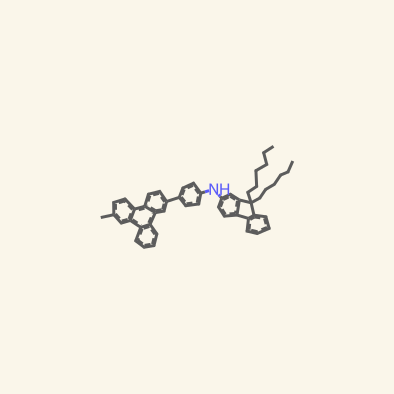 CCCCCCC1(CCCCCC)c2ccccc2-c2ccc(Nc3ccc(-c4ccc5c6ccc(C)cc6c6ccccc6c5c4)cc3)cc21